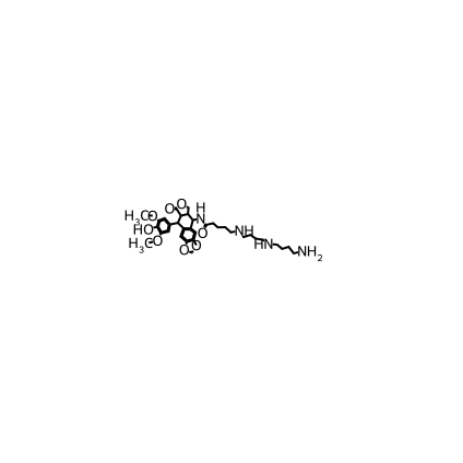 COc1cc(C2c3cc4c(cc3C(NC(=O)CCCCNCCCCNCCCCN)C3COC(=O)C23)OCO4)cc(OC)c1O